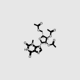 CC(=O)OC[C@H]1O[C@@H](n2cnc3c(=O)[nH]c(=O)n(C)c32)[C@H](OC(C)=O)[C@@H]1OC(C)=O